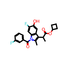 Cc1c(C(C)C(=O)OC2CCC2)c2cc(O)c(F)cc2n1C(=O)c1cccc(F)c1